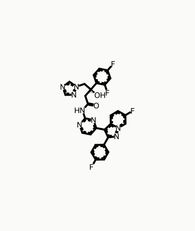 O=C(C[C@](O)(Cn1cncn1)c1ccc(F)cc1F)Nc1nccc(-c2c(-c3ccc(F)cc3)nn3cc(F)ccc23)n1